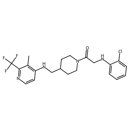 Cc1c(NCC2CCN(C(=O)CNc3ccccc3Cl)CC2)ccnc1C(F)(F)F